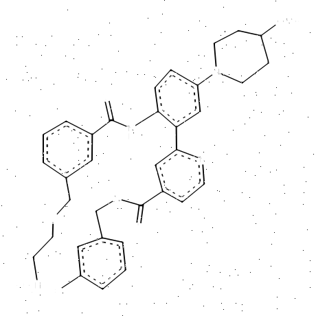 COC1CCN(c2ccc(NC(=O)c3cccc(CSCCC(=O)O)c3)c(-c3cc(C(=O)NCc4cccc(C(F)(F)F)c4)ccn3)c2)CC1